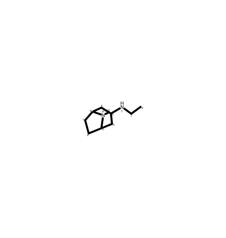 CCNC1CC2CCC(C1)N2C